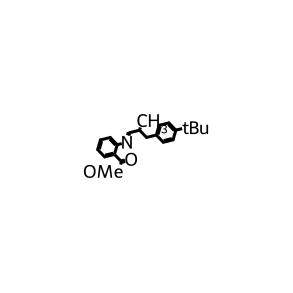 COC(=O)c1ccccc1/N=C/C(C)Cc1ccc(C(C)(C)C)cc1